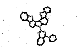 c1ccc(-c2nc(-n3c4ccc5c6ccccc6sc5c4c4c5sc6ccccc6c5ccc43)nc3ccccc23)cc1